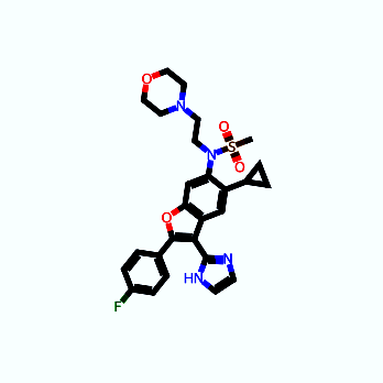 CS(=O)(=O)N(CCN1CCOCC1)c1cc2oc(-c3ccc(F)cc3)c(-c3ncc[nH]3)c2cc1C1CC1